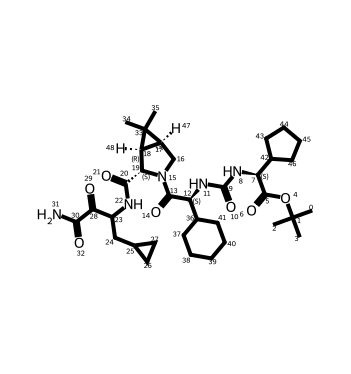 CC(C)(C)OC(=O)[C@@H](NC(=O)N[C@H](C(=O)N1C[C@H]2[C@@H]([C@H]1C(=O)NC(CC1CC1)C(=O)C(N)=O)C2(C)C)C1CCCCC1)C1CCCC1